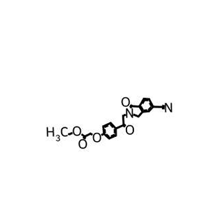 CCOC(=O)COc1ccc(C(=O)CN2Cc3cc(C#N)ccc3C2=O)cc1